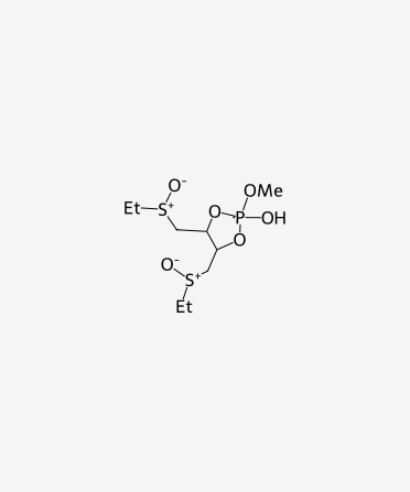 CC[S+]([O-])CC1O[P](O)(OC)OC1C[S+]([O-])CC